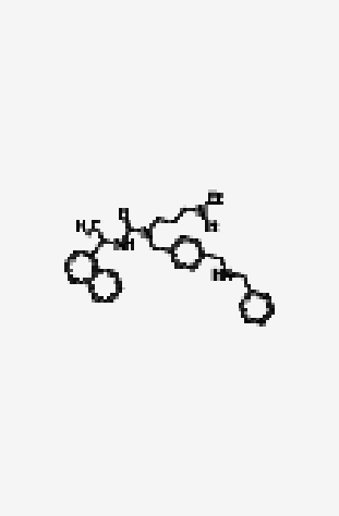 CCN(CC)CCCN(Cc1ccc(CNCc2ccccc2)cc1)C(=O)NC(C)c1cccc2ccccc12